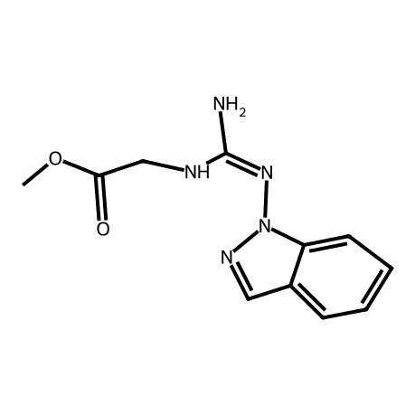 COC(=O)CNC(N)=Nn1ncc2ccccc21